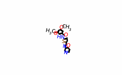 COc1cc(OC)cc(C(=O)NC2=CCC(c3nc4cnccc4o3)S2)c1